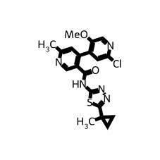 COc1cnc(Cl)cc1-c1cc(C)ncc1C(=O)Nc1nnc(C2(C)CC2)s1